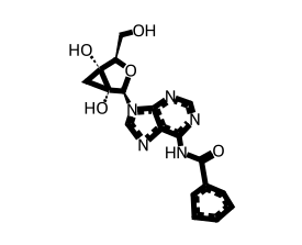 O=C(Nc1ncnc2c1ncn2[C@@H]1O[C@H](CO)[C@]2(O)C[C@]12O)c1ccccc1